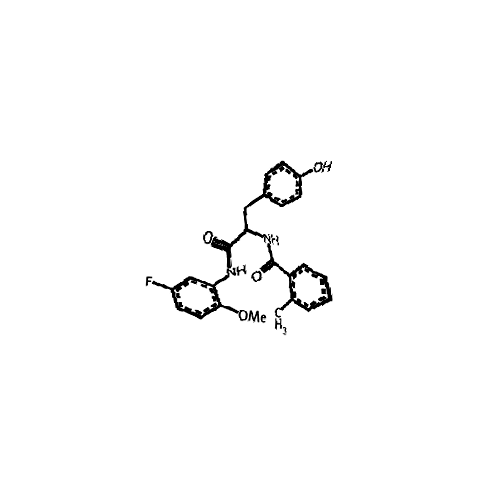 COc1ccc(F)cc1NC(=O)C(Cc1ccc(O)cc1)NC(=O)c1ccccc1C